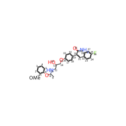 COc1ccccc1OC(C)NCC(O)COc1ccc(C(=Cc2ccc(F)cc2)C(N)=O)cc1